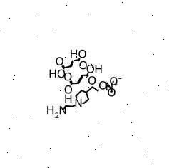 NCCN1CCC(CCO[N+](=O)[O-])CC1.O=C(O)C=CC(=O)O.O=C(O)C=CC(=O)O